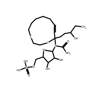 CCC(O)CCC1(N(C(N)=O)C2OC(COP(=O)(O)O)C(O)C2O)/C=C\CCCCCCCCC1